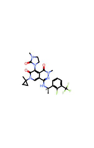 C[C@@H](Nc1nn(C)c(=O)c2c(N3CCN(C)C3=O)c(=O)n(C3(C)CC3)cc12)c1cccc(C(F)(F)F)c1F